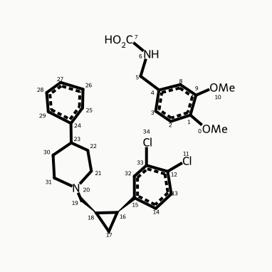 COc1ccc(CNC(=O)O)cc1OC.Clc1ccc([C@H]2C[C@H]2CN2CCC(c3ccccc3)CC2)cc1Cl